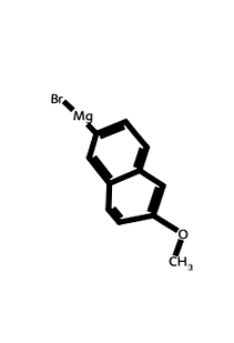 COc1ccc2c[c]([Mg][Br])ccc2c1